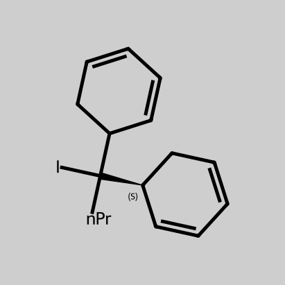 CCCC(I)(C1C=CC=CC1)[C@@H]1C=CC=CC1